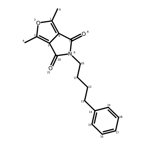 Cc1oc(C)c2c1C(=O)N(CCCCc1ccccc1)C2=O